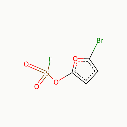 O=S(=O)(F)Oc1ccc(Br)o1